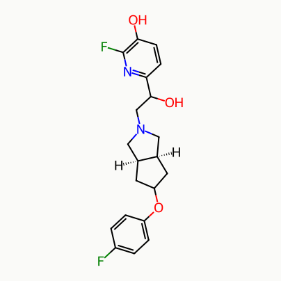 Oc1ccc(C(O)CN2C[C@H]3CC(Oc4ccc(F)cc4)C[C@H]3C2)nc1F